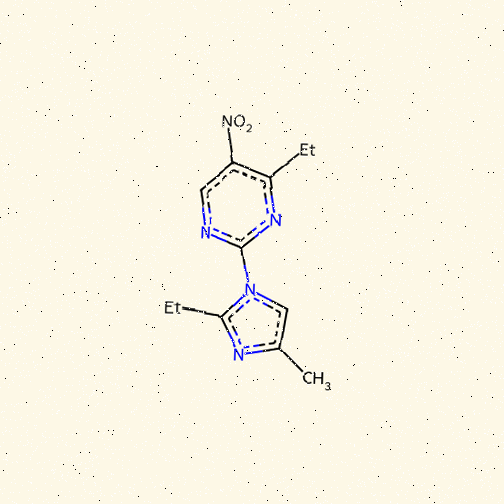 CCc1nc(-n2cc(C)nc2CC)ncc1[N+](=O)[O-]